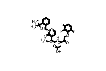 CC[C@H](CN[C@@H](CC(=O)O)C(=O)COc1c(F)ccc(F)c1F)c1ccnn(Cc2ccccc2C(C)(C)C)c1=O